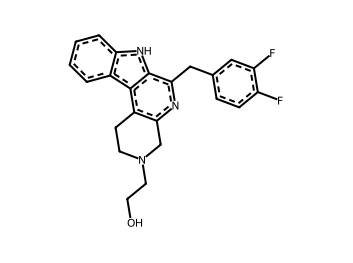 OCCN1CCc2c(nc(Cc3ccc(F)c(F)c3)c3[nH]c4ccccc4c23)C1